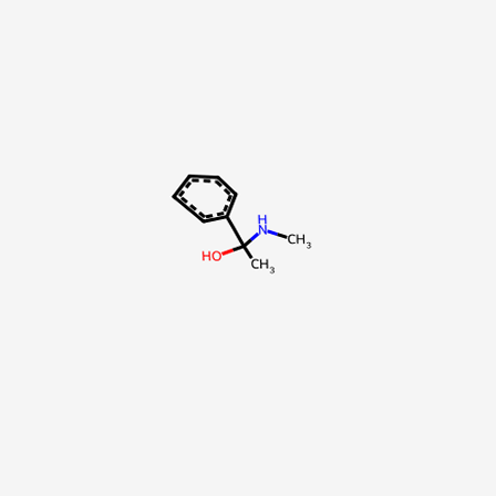 CNC(C)(O)c1ccccc1